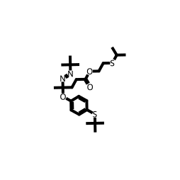 CC(C)SCCOC(=O)CCC(C)(N=NC(C)(C)C)Oc1ccc(SC(C)(C)C)cc1